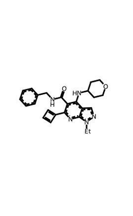 CCn1ncc2c(NC3CCOCC3)c(C(=O)NCc3ccccc3)c(C3=CC=C3)nc21